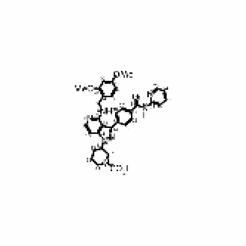 COc1ccc(CNc2nccc3c2c(-c2ccc(C(=O)Nc4ccccn4)cc2)nn3C2CCCN(C(=O)O)C2)c(OC)c1